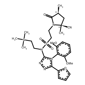 COc1cccc(OC)c1-n1c(-c2ccco2)nnc1N(CC[Si](C)(C)C)S(=O)(=O)CCN1C(=O)[C@@H](C)C[C@@]1(C)C#N